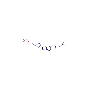 CC(C)(C)OC(=O)NCCn1cc(-c2cnc3ccc(NC(=S)NCC4CC4)nc3n2)cn1